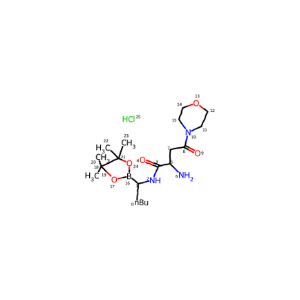 CCCCC(NC(=O)C(N)CC(=O)N1CCOCC1)B1OC(C)(C)C(C)(C)O1.Cl